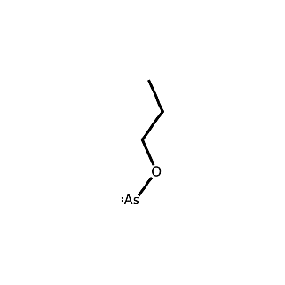 CCCO[As]